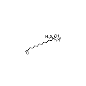 CCC[N+](C)(C)CCCCCCCCCCC1CO1